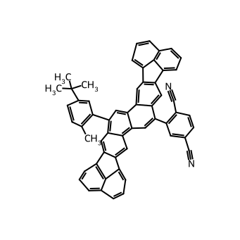 Cc1ccc(C(C)(C)C)cc1-c1cc2c3cc4c(cc3c(-c3cc(C#N)ccc3C#N)cc2c2cc3c(cc12)-c1cccc2cccc-3c12)-c1cccc2cccc-4c12